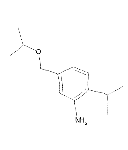 CC(C)OCc1ccc(C(C)C)c(N)c1